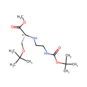 COC(=O)[C@@H](COC(C)(C)C)NCCNC(=O)OC(C)(C)C